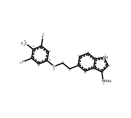 CC(=O)Nc1c[nH]c2ccc(CCOc3cc(F)c(C(F)(F)F)c(F)c3)cc12